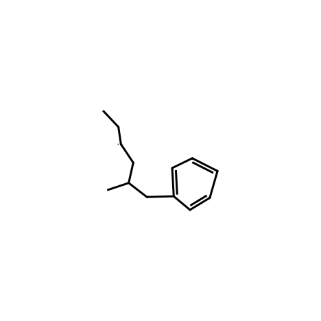 CC[CH]CC(C)Cc1ccccc1